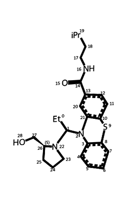 CCC(N1c2ccccc2Sc2ccc(C(=O)NCCC(C)C)cc21)N1CCC[C@H]1CO